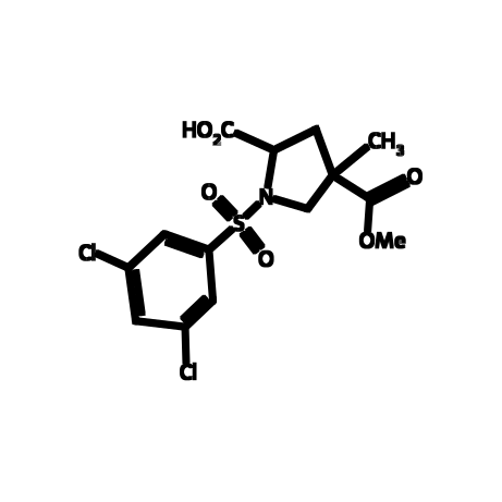 COC(=O)C1(C)CC(C(=O)O)N(S(=O)(=O)c2cc(Cl)cc(Cl)c2)C1